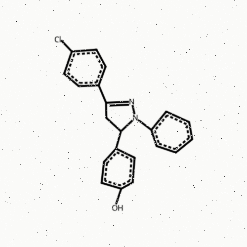 Oc1ccc(C2CC(c3ccc(Cl)cc3)=NN2c2ccccc2)cc1